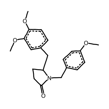 COc1ccc(CN2C(=O)CCC2Cc2ccc(OC)c(OC)c2)cc1